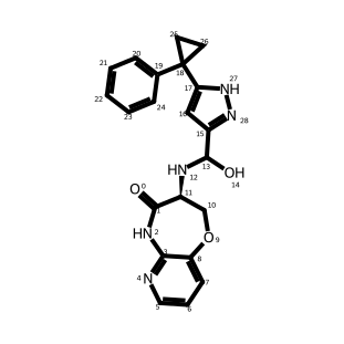 O=C1Nc2ncccc2OC[C@@H]1NC(O)c1cc(C2(c3ccccc3)CC2)[nH]n1